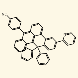 N#Cc1ccc(-c2c3ccccc3c3c4c(cccc24)-c2cc(-c4ccccn4)ccc2C3(c2ccccc2)c2ccccc2)cc1